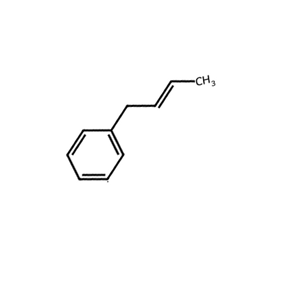 CC=CCc1c[c]ccc1